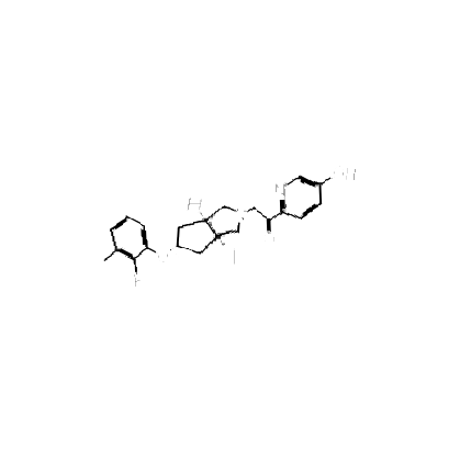 Cc1cccc(O[C@H]2C[C@@H]3CN(CC(=O)c4ccc(O)cn4)C[C@@H]3C2)c1F